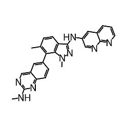 CNc1ncc2cc(-c3c(C)ccc4c(Nc5cnc6ncccc6c5)nn(C)c34)ccc2n1